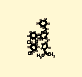 CN(C)[C@H]1CCN(C[C@@H](COCc2ccccc2)NC(=O)c2cccnc2Oc2ccc(Cl)cc2Cl)C1